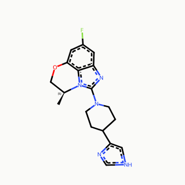 C[C@H]1COc2cc(F)cc3nc(N4CCC(c5c[nH]cn5)CC4)n1c23